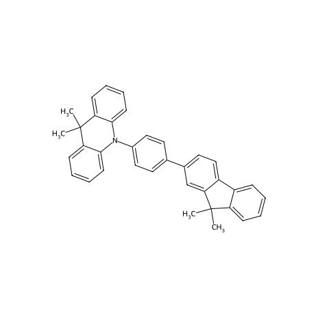 CC1(C)c2ccccc2-c2ccc(-c3ccc(N4c5ccccc5C(C)(C)c5ccccc54)cc3)cc21